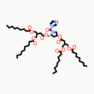 CCCCCCCCC(=O)OCC(COC(=O)CCCCCCCC)CC(=O)OC[C@H]1C[C@@H](OC(=O)CC(COC(=O)CCCCCCCC)COC(=O)CCCCCCCC)CN1C(=O)n1ccnc1